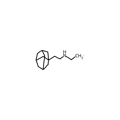 [CH2]CNCCC12CC3CC(CC(C3)C1)C2